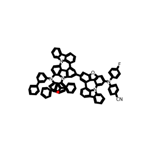 N#Cc1ccc(N(c2ccc(F)cc2)c2cc3oc4cc(-c5cc6c7cccc8c9ccccc9n(c9ccc(N(c%10cccc(-c%11ccccc%11)c%10)c%10cccc(-c%11ccccc%11)c%10)c%10c9c6c(c5)n%10-c5cccc(-c6ccccc6)c5)c78)cc5c6cccc7c8ccccc8n(c(c2)c3c45)c67)cc1